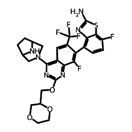 Nc1nc2c(-c3c(C(F)(F)F)cc4c(N5CC6CCC(C5)N6)nc(OCC5COCCO5)nc4c3F)ccc(F)c2s1